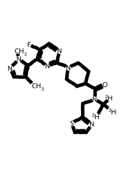 [2H]C([2H])([2H])N(Cc1nccs1)C(=O)C1CCN(c2ncc(F)c(-c3c(C)cnn3C)n2)CC1